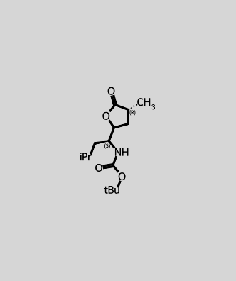 CC(C)C[C@H](NC(=O)OC(C)(C)C)C1C[C@@H](C)C(=O)O1